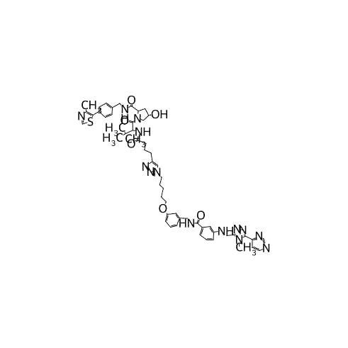 Cc1ncsc1-c1ccc(CNC(=O)C2C[C@@H](O)CN2C(=O)C(NC(=O)CCCc2cn(CCCCCOc3cccc(CNC(=O)c4cccc(NCc5nnc(-c6ccncn6)n5C)c4)c3)nn2)C(C)(C)C)cc1